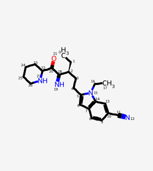 CC[C@@H](CCc1cc2ccc(C#N)cc2n1CC)C(=N)C(=O)C1CCCCN1